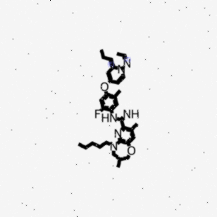 C/C=N\N1C=CC(Oc2cc(F)c(NC(=N)c3nc4c(cc3C)OCC(C)CN4CCCCC)cc2C)=C/C1=C\CC